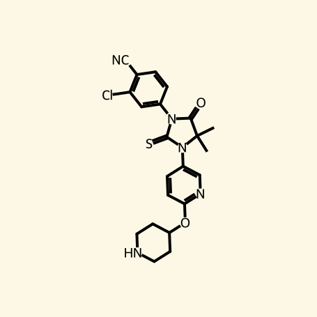 CC1(C)C(=O)N(c2ccc(C#N)c(Cl)c2)C(=S)N1c1ccc(OC2CCNCC2)nc1